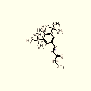 CC(C)(C)c1cc(/C=C/C(=O)NN)cc(C(C)(C)C)c1O